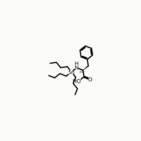 CCC[CH2][Sn]([CH2]CCC)([CH2]CCC)[NH][C@@H](Cc1ccccc1)C(=O)O